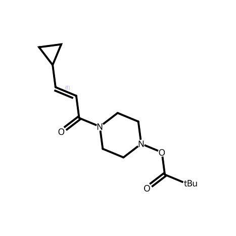 CC(C)(C)C(=O)ON1CCN(C(=O)/C=C/C2CC2)CC1